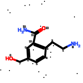 N[CH]Cc1ccc(CO)cc1C(N)=O